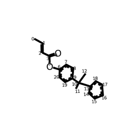 CC=CC(=O)Oc1ccc(C(C)(C)c2ccccc2)cc1